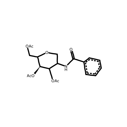 CC(=O)OCC1OCC(NC(=O)c2ccccc2)C(OC(C)=O)[C@H]1OC(C)=O